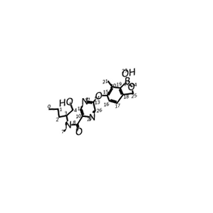 CCCC(CO)N(C)C(=O)c1cnc(Oc2ccc3c(c2C)B(O)OC3)cn1